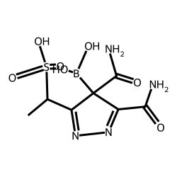 CC(C1=NN=C(C(N)=O)C1(B(O)O)C(N)=O)S(=O)(=O)O